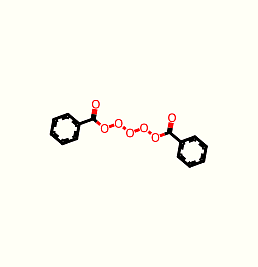 O=C(OOOOOC(=O)c1ccccc1)c1ccccc1